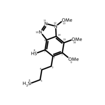 COc1c(CCC[SiH3])c(S)c2nnn(OC)c2c1OC